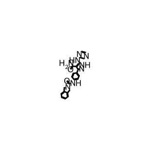 NC(=O)c1c(-c2ccc(NC(=O)N3Cc4ccccc4C3)cc2)n[nH]c1Nc1cnccn1